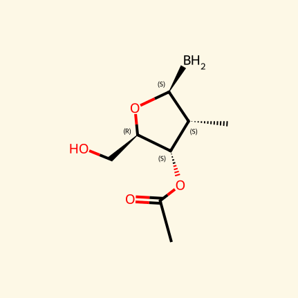 B[C@@H]1O[C@H](CO)[C@@H](OC(C)=O)[C@H]1C